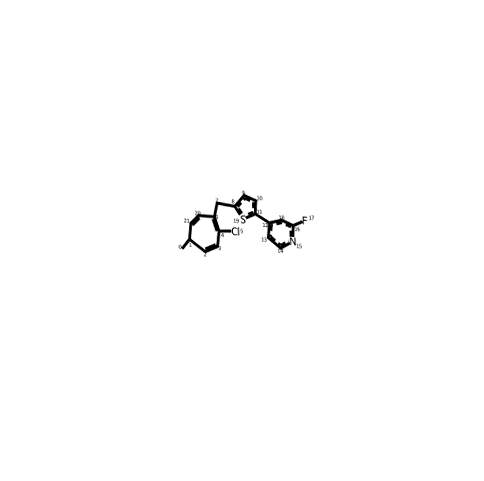 CC1C=CC(Cl)=C(Cc2ccc(-c3ccnc(F)c3)s2)C=C1